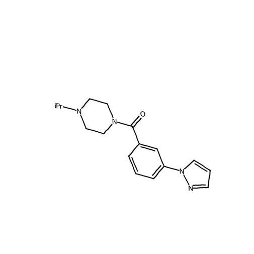 CC(C)N1CCN(C(=O)c2cccc(-n3cccn3)c2)CC1